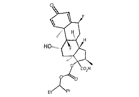 CCC(OC(=O)OC1(C(=O)O)[C@H](C)C[C@H]2[C@@H]3C[C@H](F)C4=CC(=O)C=C[C@]4(C)[C@@]3(F)[C@@H](O)C[C@@]21C)C(C)C